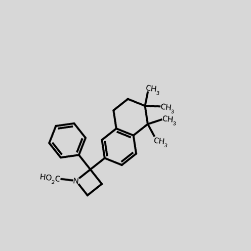 CC1(C)CCc2cc(C3(c4ccccc4)CCN3C(=O)O)ccc2C1(C)C